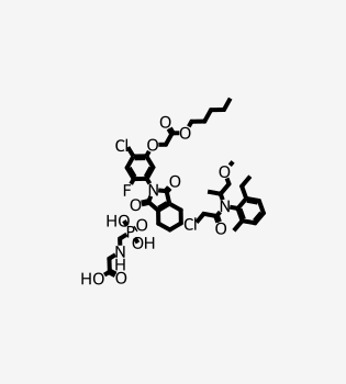 CCCCCOC(=O)COc1cc(N2C(=O)C3=C(CCCC3)C2=O)c(F)cc1Cl.CCc1cccc(C)c1N(C(=O)CCl)C(C)COC.O=C(O)CNCP(=O)(O)O